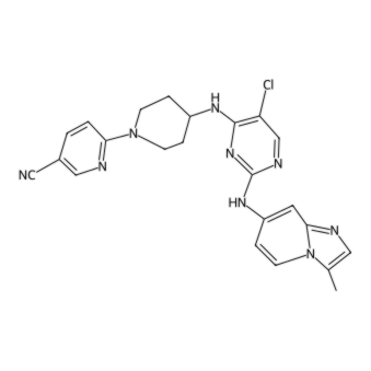 Cc1cnc2cc(Nc3ncc(Cl)c(NC4CCN(c5ccc(C#N)cn5)CC4)n3)ccn12